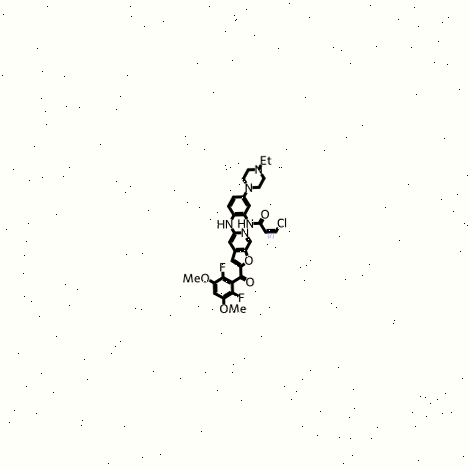 CCN1CCN(c2ccc(Nc3cc4cc(C(=O)c5c(F)c(OC)cc(OC)c5F)oc4cn3)c(NC(=O)/C=C\Cl)c2)CC1